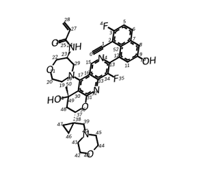 C#Cc1c(F)ccc2cc(O)cc(-c3ncc4c(N5CCOC[C@@H](NC(=O)C=C)C5)c5c(nc4c3F)O[C@H](C3(CN4CCOCC4)CC3)C[C@]5(C)O)c12